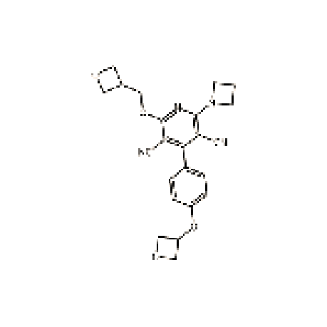 N#Cc1c(OCC2COC2)nc(N2CCC2)c(C#N)c1-c1ccc(OC2COC2)cc1